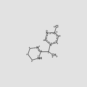 CC(C1=NCCCN1)c1ccc(Cl)nc1